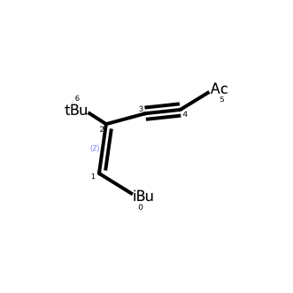 CCC(C)/C=C(\C#CC(C)=O)C(C)(C)C